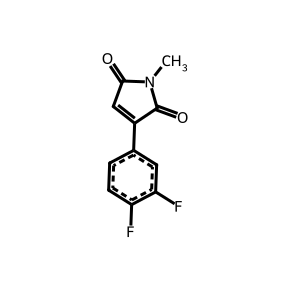 CN1C(=O)C=C(c2ccc(F)c(F)c2)C1=O